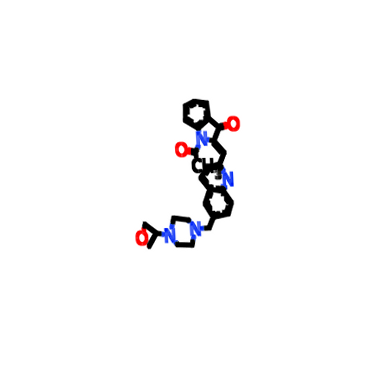 CC(=O)N1/C(=C\c2ccc3cc(CN4CCN(C5COC5)CC4)ccc3n2)C(=O)c2ccccc21